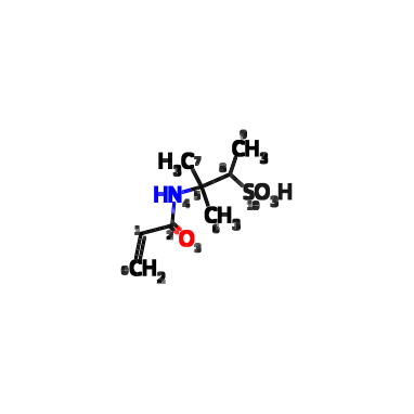 C=CC(=O)NC(C)(C)C(C)S(=O)(=O)O